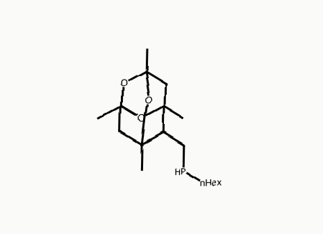 CCCCCCPCC1C2(C)CC3(C)OC(C)(CC1(C)O3)O2